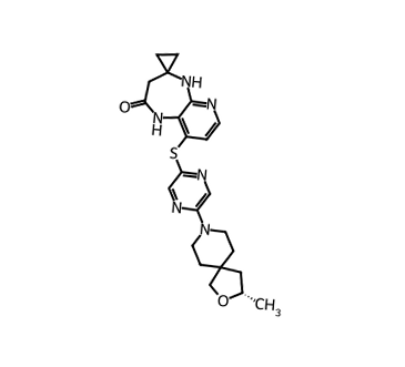 C[C@H]1CC2(CCN(c3cnc(Sc4ccnc5c4NC(=O)CC4(CC4)N5)cn3)CC2)CO1